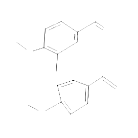 COc1ccc(C=O)cc1.COc1ccc(C=O)cc1O